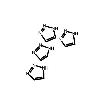 c1c[nH]nn1.c1c[nH]nn1.c1c[nH]nn1.c1c[nH]nn1